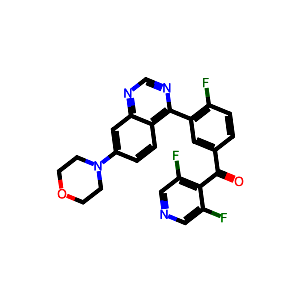 O=C(c1ccc(F)c(-c2ncnc3cc(N4CCOCC4)ccc23)c1)c1c(F)cncc1F